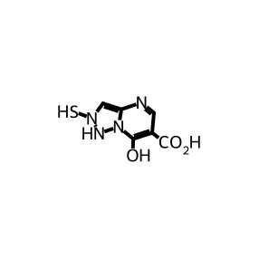 O=C(O)C1=C(O)N2NN(S)C=C2N=C1